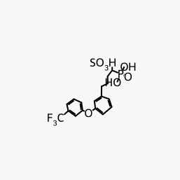 O=P(O)(O)C(CCCc1cccc(Oc2cccc(C(F)(F)F)c2)c1)S(=O)(=O)O